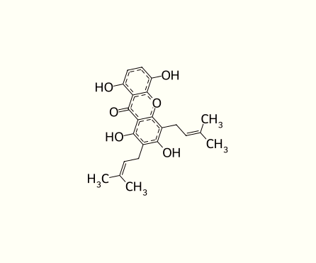 CC(C)=CCc1c(O)c(CC=C(C)C)c2oc3c(O)ccc(O)c3c(=O)c2c1O